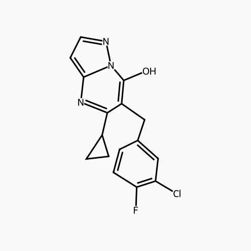 Oc1c(Cc2ccc(F)c(Cl)c2)c(C2CC2)nc2ccnn12